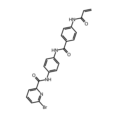 C=CC(=O)Nc1ccc(C(=O)Nc2ccc(NC(=O)c3cccc(Br)n3)cc2)cc1